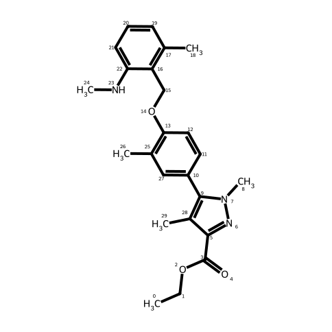 CCOC(=O)c1nn(C)c(-c2ccc(OCc3c(C)cccc3NC)c(C)c2)c1C